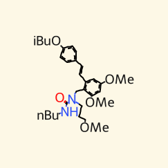 CCCCNC(=O)N(CCCOC)Cc1c(/C=C/c2ccc(OCC(C)C)cc2)cc(OC)cc1OC